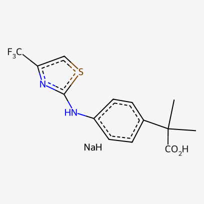 CC(C)(C(=O)O)c1ccc(Nc2nc(C(F)(F)F)cs2)cc1.[NaH]